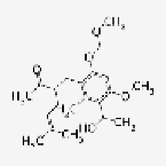 COCOc1cc(OC)c(C(C)O)c(C)c1CC(CC=C(C)C)C(C)=O